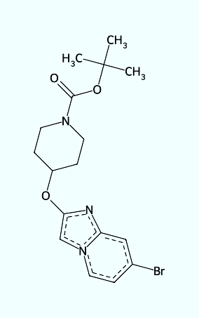 CC(C)(C)OC(=O)N1CCC(Oc2cn3ccc(Br)cc3n2)CC1